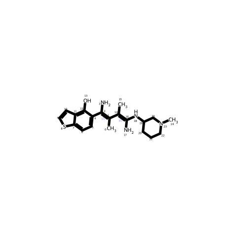 CC(=C(/N)c1ccc2sccc2c1O)/C(C)=C(\N)NC1CCCN(C)C1